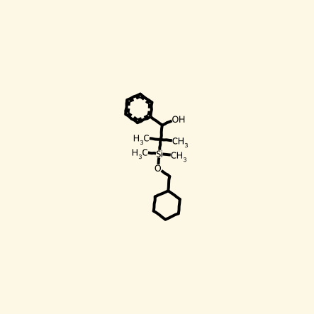 CC(C)(C(O)c1ccccc1)[Si](C)(C)OCC1CCCCC1